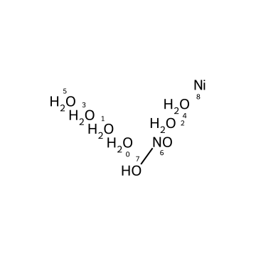 O.O.O.O.O.O.O=NO.[Ni]